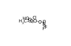 CCC(=CC1Cc2cc(-c3ccc(C(=O)N4CC(F)(F)C4)cc3)cc(Cl)c2O1)C(=O)O